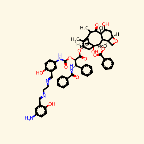 CC(=O)O[C@@]12CO[C@@H]1C[C@H](O)[C@@]1(C)C(=O)C(C)C3=C(C)[C@@H](OC(=O)[C@H](OC(=O)Nc4ccc(O)c(/C=N/CC/N=C/c5cc(N)ccc5O)c4)[C@@H](NC(=O)c4ccccc4)c4ccccc4)C[C@@](O)([C@@H](OC(=O)c4ccccc4)C12)C3(C)C